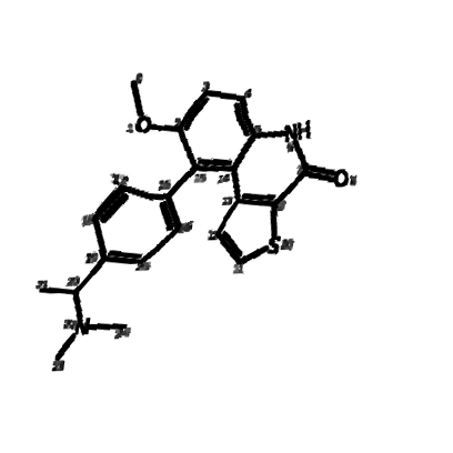 COc1ccc2[nH]c(=O)c3sccc3c2c1-c1ccc(C(C)N(C)C)cc1